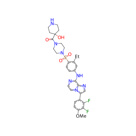 CCc1cc(Nc2nccn3c(-c4ccc(OC)c(F)c4F)cnc23)ccc1S(=O)(=O)N1CCN(C(=O)C2(O)CCNCC2)CC1